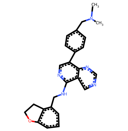 CN(C)Cc1ccc(-c2cnc(NCc3cccc4c3CCO4)c3cncnc23)cc1